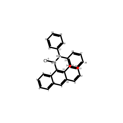 [Cl][Ni]([c]1c2ccccc2cc2ccccc12)[P](c1ccccc1)c1ccccc1